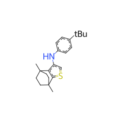 CC(C)(C)c1ccc(Nc2csc3c2C2(C)CCC3(C)CC2)cc1